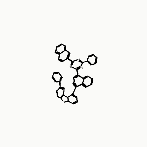 C1=CC2Oc3ccc(-c4ccccc4)cc3C2C(c2ccc(-c3nc(-c4ccccc4)nc(-c4ccc5ccccc5c4)n3)c3ccccc23)=C1